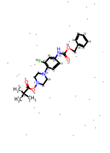 CC(C)(C)C(=O)ON1CCN(c2ccc(NC(=O)OCc3ccccc3)cc2F)CC1